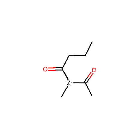 CCC[C](=O)[Zr]([CH3])[C](C)=O